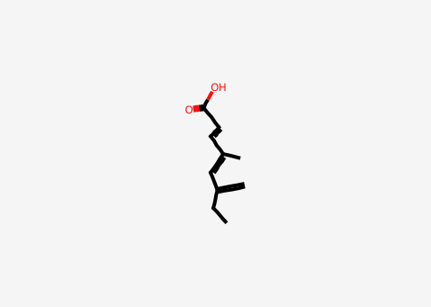 C=C(/C=C(C)/C=C/C(=O)O)CC